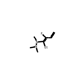 C=C/C(F)=C(\CC)N(C)N(C)C